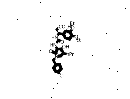 CCCc1cn(Cc2ccc(Cl)cc2)c(=O)c(NC(=O)N[C@@H](CC(=O)O)c2ccc(OCC)c(OCC)c2)c1O